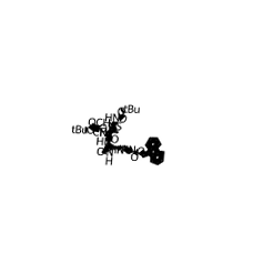 CC(C)(C)OC(=O)Nc1nc(C(=NOC(C)(C)C(=O)OC(C)(C)C)C(=O)N[C@@H]2C(=O)N[C@@H]2CNCCNC(=O)OCC2c3ccccc3-c3ccccc32)cs1